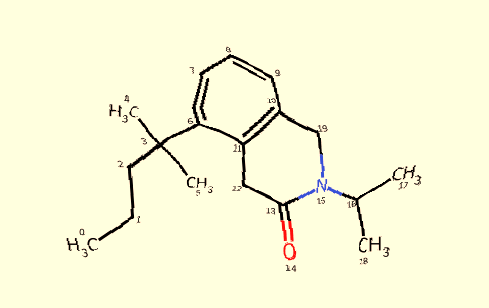 CCCC(C)(C)c1cccc2c1CC(=O)N(C(C)C)C2